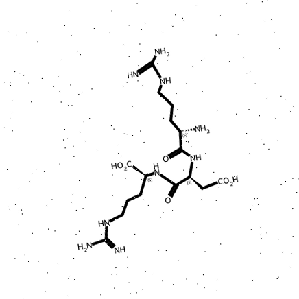 N=C(N)NCCC[C@H](NC(=O)[C@H](CC(=O)O)NC(=O)[C@@H](N)CCCNC(=N)N)C(=O)O